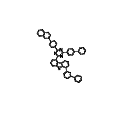 c1ccc(-c2ccc(-c3nc(-c4ccc(-c5ccc6ccccc6c5)cc4)nc(-c4cccc5sc6c(-c7cccc(-c8ccccc8)c7)cccc6c45)n3)cc2)cc1